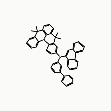 CC1(C)c2ccccc2N2c3ccc(N(c4cccc(-c5ccccc5)c4)c4cc5ccccc5c5ccccc45)cc3C(C)(C)c3cccc1c32